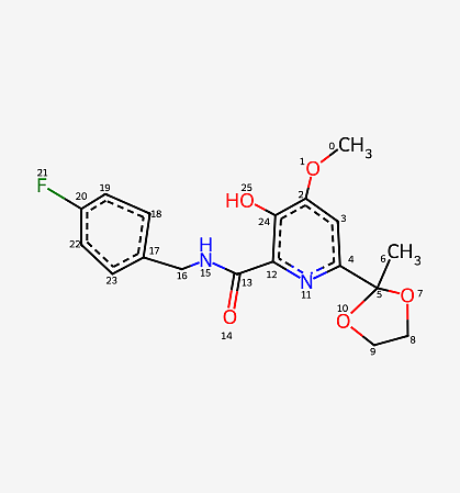 COc1cc(C2(C)OCCO2)nc(C(=O)NCc2ccc(F)cc2)c1O